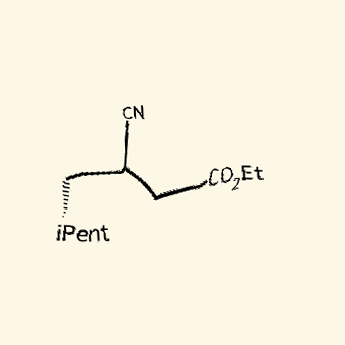 CCC[C@@H](C)CC(C#N)CC(=O)OCC